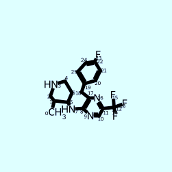 CC1CNCCC1Nc1ncc(C(F)(F)F)nc1Cc1ccc(F)cc1